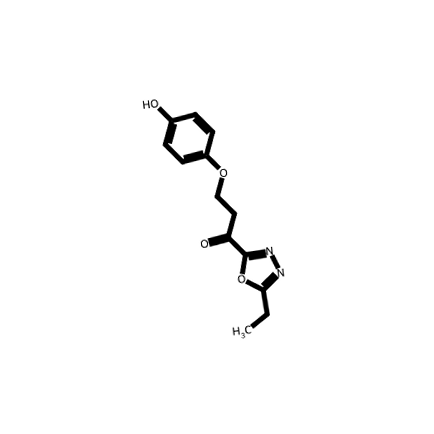 CCc1nnc(C(=O)CCOc2ccc(O)cc2)o1